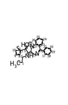 CCCNC(C(=O)c1cccs1)C1CN=C(c2ccccc2)c2ccccc2N1C